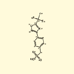 O=S(=O)(O)Cc1ccc(-c2noc(C(F)(F)F)n2)cc1